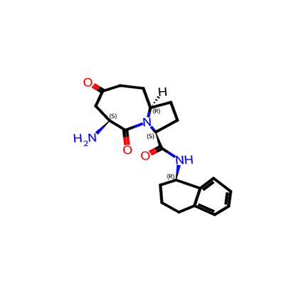 N[C@H]1CC(=O)CC[C@H]2CC[C@@H](C(=O)N[C@@H]3CCCc4ccccc43)N2C1=O